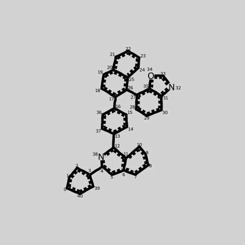 c1ccc(-c2cc3ccccc3c(-c3ccc(-c4ccc5ccccc5c4-c4cccc5ncoc45)cc3)n2)cc1